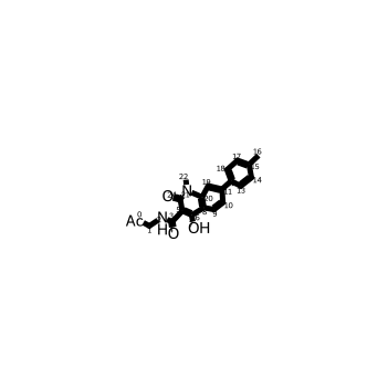 CC(=O)CNC(=O)c1c(O)c2ccc(-c3ccc(C)cc3)cc2n(C)c1=O